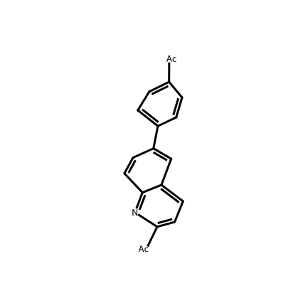 CC(=O)c1ccc(-c2ccc3nc(C(C)=O)ccc3c2)cc1